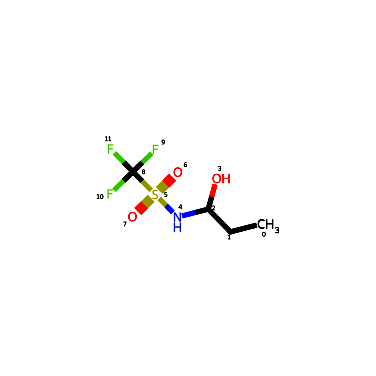 CCC(O)NS(=O)(=O)C(F)(F)F